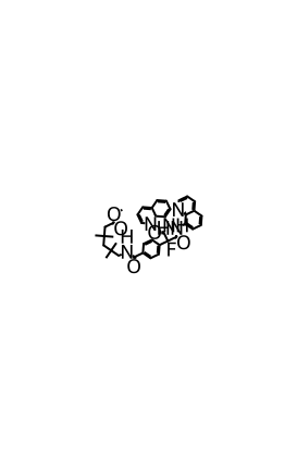 COC(=O)CC(C)(C)CC(C)(C)CNC(=O)c1ccc(C(F)(C(=O)Nc2cccc3cccnc23)C(=O)Nc2cccc3cccnc23)cc1